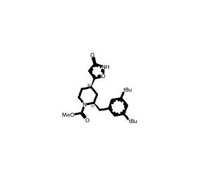 COC(=O)N1CC[C@@H](c2cc(=O)[nH]o2)C[C@H]1Cc1cc(C(C)(C)C)cc(C(C)(C)C)c1